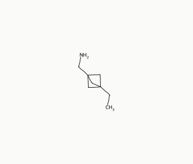 CCC12CC(CN)(C1)C2